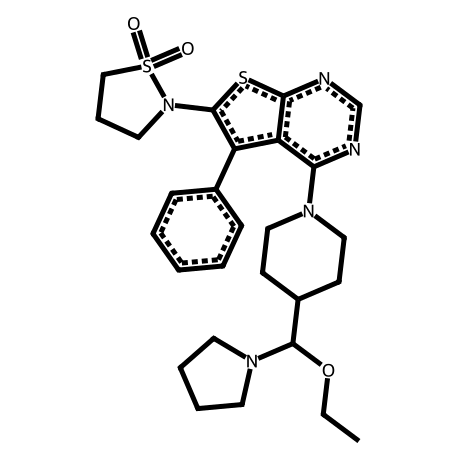 CCOC(C1CCN(c2ncnc3sc(N4CCCS4(=O)=O)c(-c4ccccc4)c23)CC1)N1CCCC1